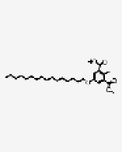 CCCCCCCCCCCCCCCCOc1cc(C(=O)O)c(C)c(C(=O)OC)c1